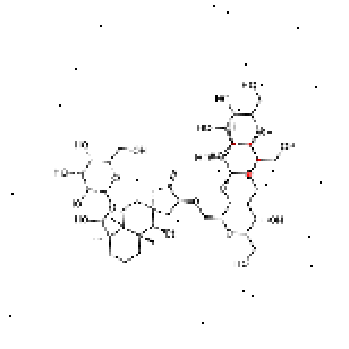 C=C1C[C@]2(CCC3(C)[C@](C)(C(O)OC4OC(CO)[C@@H](O)C(O)C4O)CCC[C@@]3(C)[C@@H]2CC)C[C@@H]1OC[C@@H]1OC(CO)[C@@H](O)C(COCC2OC(CO)C(O)C(O)C2O)C1O[C@@H]1OC(CO)C(O)C(O)C1O